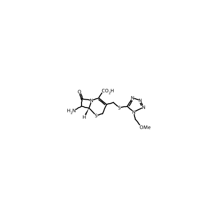 COCn1nnnc1SCC1=C(C(=O)O)N2C(=O)C(N)[C@H]2SC1